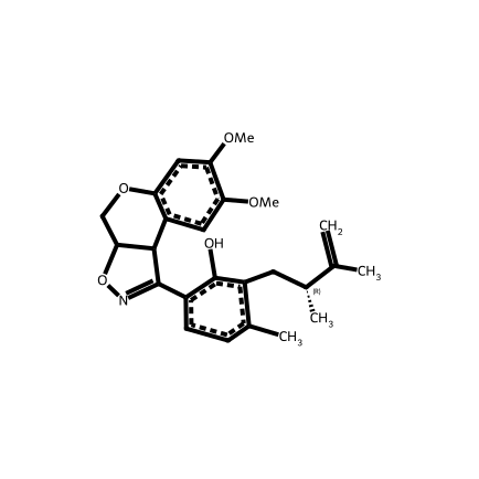 C=C(C)[C@H](C)Cc1c(C)ccc(C2=NOC3COc4cc(OC)c(OC)cc4C23)c1O